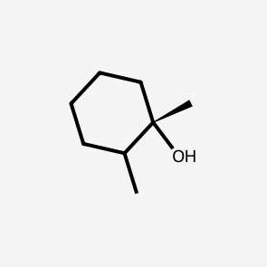 CC1CCCC[C@]1(C)O